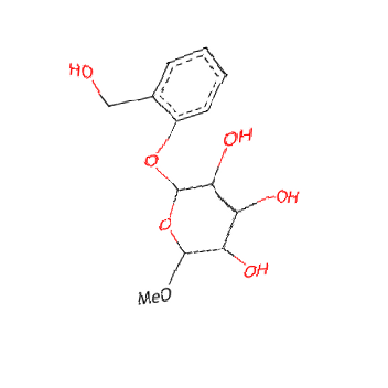 COC1OC(Oc2ccccc2CO)C(O)C(O)C1O